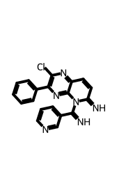 N=C(c1cccnc1)n1c(=N)ccc2nc(Cl)c(-c3ccccc3)nc21